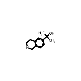 CC(C)(O)c1ccc2c(c1)CC[N]C2